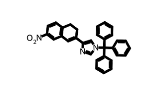 O=[N+]([O-])c1ccc2c(c1)C=C(c1cn(C(c3ccccc3)(c3ccccc3)c3ccccc3)cn1)CC2